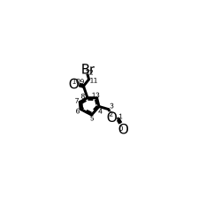 O=COCc1cccc(C(=O)CBr)c1